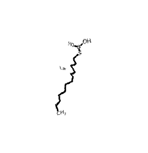 CCCCCCCCCCCCSB(O)O.[La]